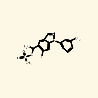 CS(=O)(=O)OC(c1cc2cnn(-c3cccc(C(F)(F)F)c3)c2cc1F)C(F)(F)F